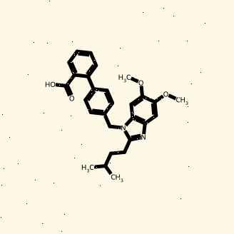 COc1cc2nc(CCC(C)C)n(Cc3ccc(-c4ccccc4C(=O)O)cc3)c2cc1OC